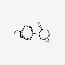 O=C1CCOCC1c1ccc(F)cc1